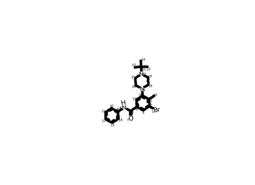 Cc1c(Br)cc(C(=O)Nc2ccccc2)cc1N1CCN(C(C)(C)C)CC1